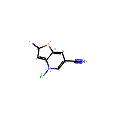 N#CC1=CN(Cl)C2=CC(I)SC2=C1